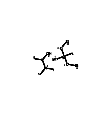 CC(O)N(C)C.CCC[Si](C)(OCC)OCC